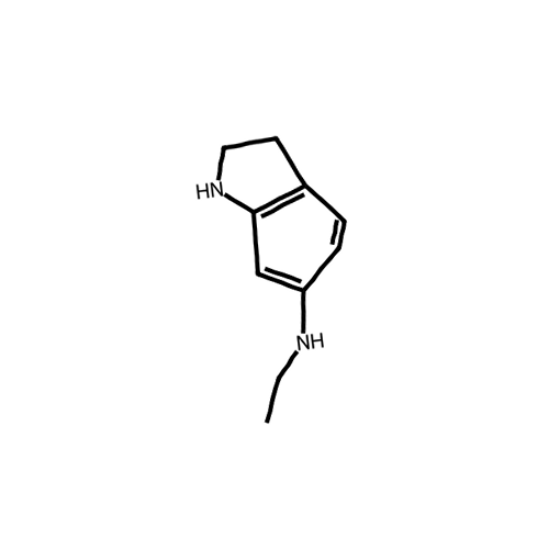 CCNc1ccc2c(c1)NCC2